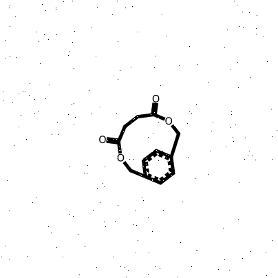 O=C1CCC(=O)OCc2ccc(cc2)CO1